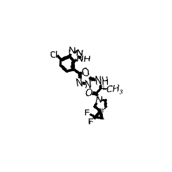 C[C@H](Nc1nnc(-c2ccc(Cl)c3nn[nH]c23)o1)C(=O)N1CC[C@]2(C1)CC2(F)F